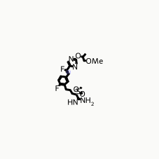 COCC(C)Oc1cnc(/C(F)=C/c2ccc(F)c(CCCC(C(=N)N)S(C)(=O)=O)c2)cn1